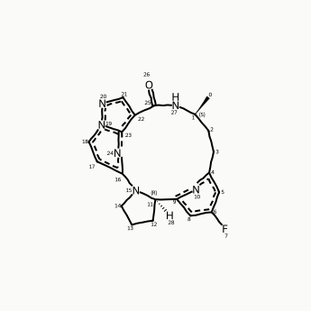 C[C@H]1CCc2cc(F)cc(n2)[C@H]2CCCN2c2ccn3ncc(c3n2)C(=O)N1